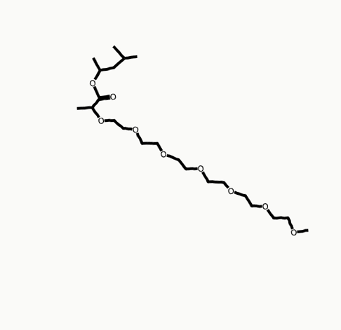 COCCOCCOCCOCCOCCOCCOC(C)C(=O)OC(C)CC(C)C